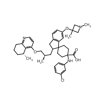 C[C@@H](COc1ccnc2c1[C@H](C)CCC2)CC1Cc2ccc(OC3(C)CN(C)C3)cc2C12CCC(Nc1cccc(Cl)c1)(C(=O)O)CC2